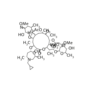 CO/N=C1\C[C@@H](C)O[C@@H](O[C@@H]2[C@@H](C)[C@H](O[C@H]3C[C@@H](C)N(CC4CC4)C[C@H](C)O3)[C@@H](C)C(=O)O[C@H]([C@@H](C)CO[C@@H]3O[C@H](C)[C@@H](O)[C@@H](OC)[C@H]3OC)[C@H](C)[C@@H](OC(=O)CC(C)C)[C@@H](C)C(=O)[C@@](C)(OC(C)=O)C[C@@H]2C)[C@@H]1O